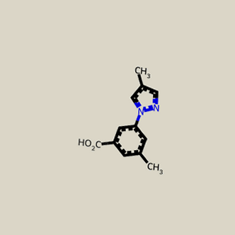 Cc1cc(C(=O)O)cc(-n2cc(C)cn2)c1